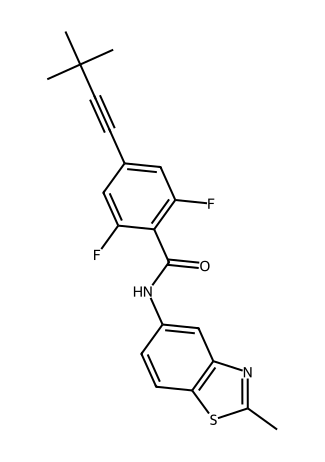 Cc1nc2cc(NC(=O)c3c(F)cc(C#CC(C)(C)C)cc3F)ccc2s1